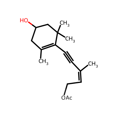 CC(=O)OC/C=C(/C)C#CC1=C(C)CC(O)CC1(C)C